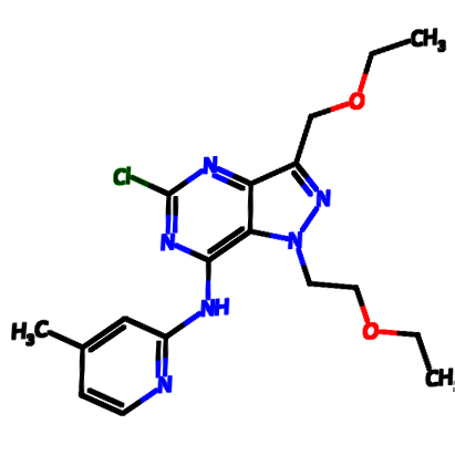 CCOCCn1nc(COCC)c2nc(Cl)nc(Nc3cc(C)ccn3)c21